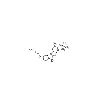 C=C(Cc1nc(C2(c3ccc(OCCCC)cc3)CC2)no1)C(=O)OC(C)(C)C